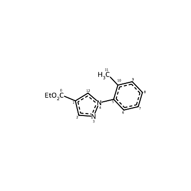 CCOC(=O)c1cnn(-c2ccccc2C)c1